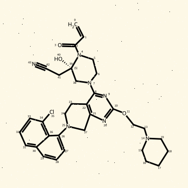 C=CC(=O)N1CCN(c2nc(OCCN3CCCCC3)nc3c2CCN(c2cccc4cccc(Cl)c24)C3)C[C@@]1(O)CC#N